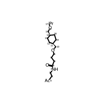 CC(=O)CCNC(=O)CCCOC[C@H]1CC[C@@H](COC(C)C)CC1